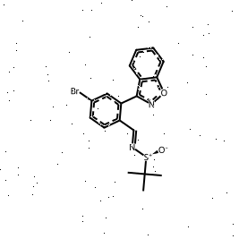 CC(C)(C)[S@+]([O-])N=Cc1ccc(Br)cc1-c1noc2ccccc12